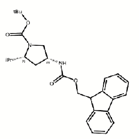 CC(C)[C@H]1C[C@@H](NC(=O)OCC2c3ccccc3-c3ccccc32)CN1C(=O)OC(C)(C)C